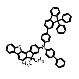 CC1(C)c2cc(N(c3ccc(-c4ccccc4)cc3)c3ccc(-c4ccc5c(c4)C(c4ccccc4)(c4ccccc4)c4ccccc4-5)cc3)ccc2-c2c1ccc1c2sc2ccccc21